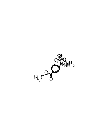 COC(=O)c1ccc(N(NN)S(=O)(=O)O)cc1